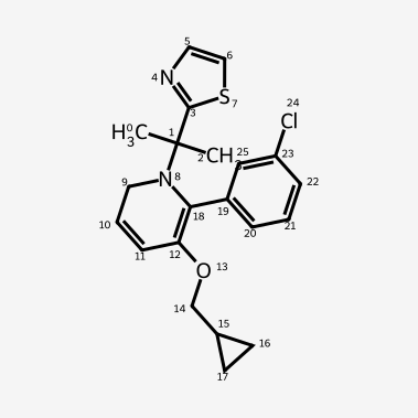 CC(C)(c1nccs1)N1CC=CC(OCC2CC2)=C1c1cccc(Cl)c1